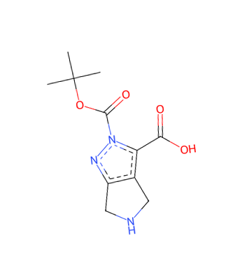 CC(C)(C)OC(=O)n1nc2c(c1C(=O)O)CNC2